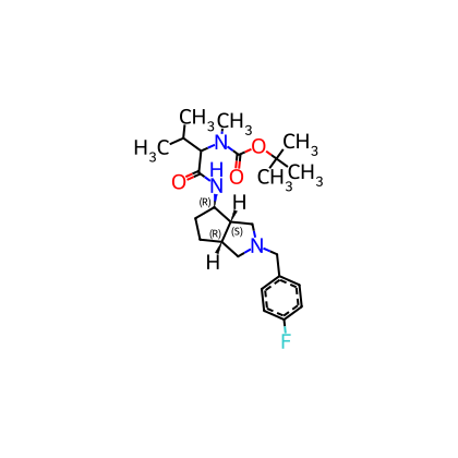 CC(C)C(C(=O)N[C@@H]1CC[C@H]2CN(Cc3ccc(F)cc3)C[C@H]21)N(C)C(=O)OC(C)(C)C